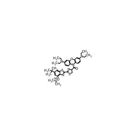 CCN(CC)c1ccc2c(c1)Oc1cc(N(CC)CC)ccc1N2C(=O)C1CSC(c2nc3c(O[SiH](C)C)cc(C(C)(C)C)cc3s2)=N1